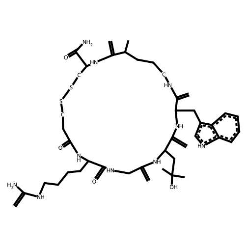 C=C(N)NCCCCC1NC(=O)CCSSCC(C(N)=O)NC(=C)C(C)CCCNC(=C)C(Cc2c[nH]c3ccccc23)NC(=C)C(CC(C)(C)O)NC(=C)CNC1=O